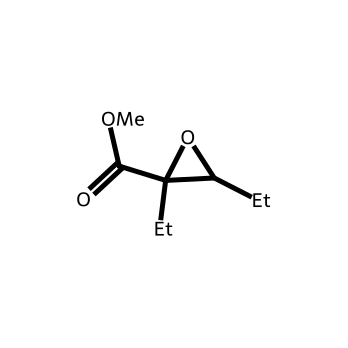 CCC1OC1(CC)C(=O)OC